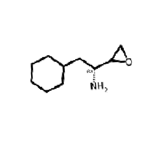 N[C@H](CC1CCCCC1)C1CO1